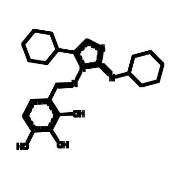 Oc1ccc(/C=N/n2c(C3CCCCC3)cs/c2=N\C2CCCCC2)c(O)c1O